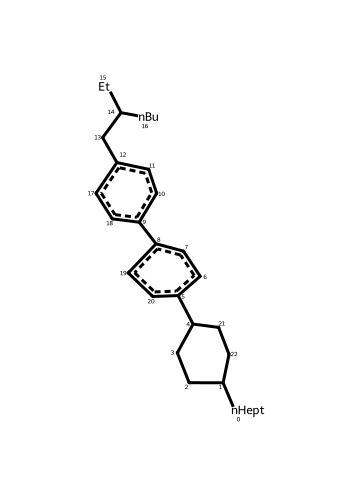 CCCCCCCC1CCC(c2ccc(-c3ccc(CC(CC)CCCC)cc3)cc2)CC1